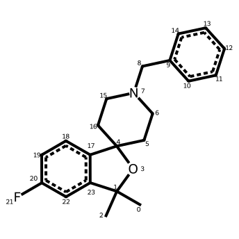 CC1(C)OC2(CCN(Cc3ccccc3)CC2)c2ccc(F)cc21